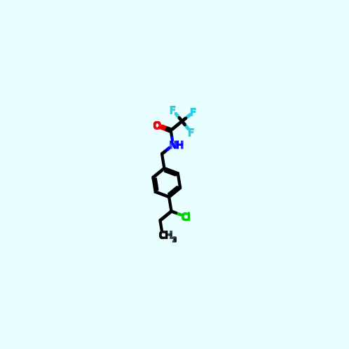 CCC(Cl)c1ccc(CNC(=O)C(F)(F)F)cc1